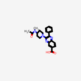 CC(=O)N(C)C1CCN(c2nc3cc(C(=O)O)ccc3nc2-c2ccccc2)CC1